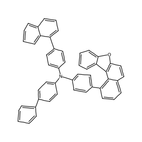 c1ccc(-c2ccc(N(c3ccc(-c4cccc5ccccc45)cc3)c3ccc(-c4cccc5ccc6oc7ccccc7c6c45)cc3)cc2)cc1